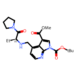 CC[C@H](NCc1ccnc2c1c(C(=O)OC)cn2C(=O)OC(C)(C)C)C(=O)N1CCCC1